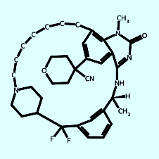 C[C@H]1Nc2nc(=O)n(C)c3c(cc(C4(C#N)CCOCC4)cc23)CCCCCCCN2CCC(CC2)C(F)(F)c2cccc1c2